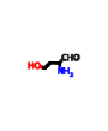 NC(C=O)CCO